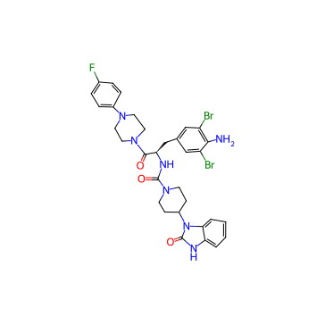 Nc1c(Br)cc(C[C@@H](NC(=O)N2CCC(n3c(=O)[nH]c4ccccc43)CC2)C(=O)N2CCN(c3ccc(F)cc3)CC2)cc1Br